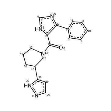 O=C(c1[nH]cnc1-c1ccccc1)N1CCCC(c2ccn[nH]2)C1